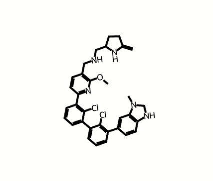 C=C1CCC(CNCc2ccc(-c3cccc(-c4cccc(-c5ccc6c(c5)N(C)CN6)c4Cl)c3Cl)nc2OC)N1